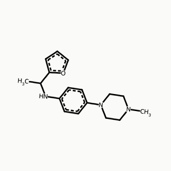 CC(Nc1ccc(N2CCN(C)CC2)cc1)c1ccco1